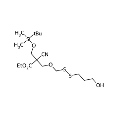 CCOC(=O)C(C#N)(COCSSCCCO)CO[Si](C)(C)C(C)(C)C